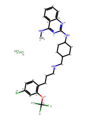 CNc1nc(NC2CCC(CNCCCc3ccc(Br)cc3OC(F)(F)F)CC2)nc2ccccc12.Cl.Cl